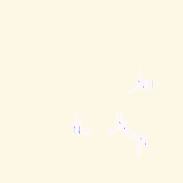 CCCc1cc(NC2CCCC2)n2nccc2n1